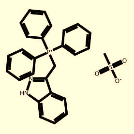 CS(=O)(=O)[O-].c1ccc([P+](Cc2n[nH]c3ccccc23)(c2ccccc2)c2ccccc2)cc1